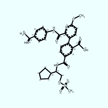 COc1ccc(-c2ccc(C(=O)NC(COS(C)(=O)=O)C3CCCC3)cc2C(=O)O)c(C(=O)Nc2ccc(C(=N)N)cc2)n1